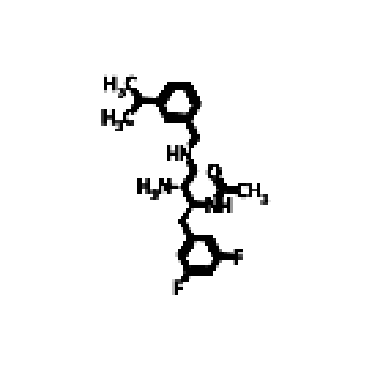 CC(=O)N[C@@H](Cc1cc(F)cc(F)c1)[C@H](N)CNCc1cccc(C(C)C)c1